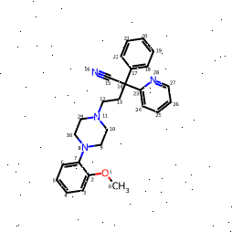 COc1ccccc1N1CCN(CCC(C#N)(c2ccccc2)c2ccccn2)CC1